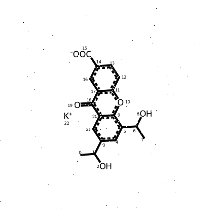 CC(O)c1cc(C(C)O)c2oc3ccc(C(=O)[O-])cc3c(=O)c2c1.[K+]